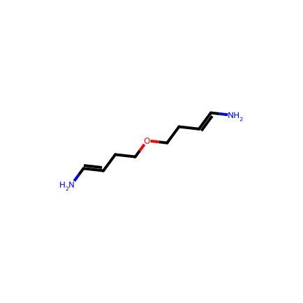 NC=CCCOCCC=CN